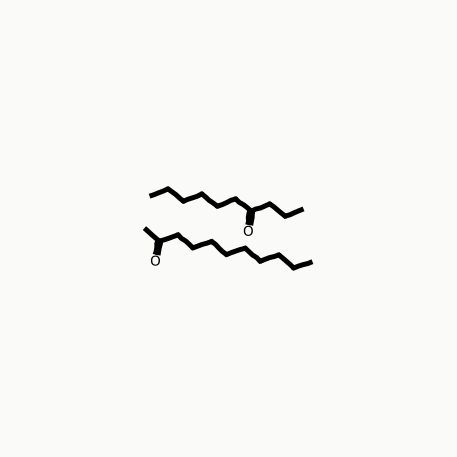 CCCCCCC(=O)CCC.CCCCCCCCCC(C)=O